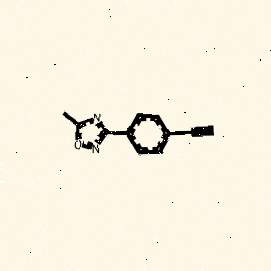 C#Cc1ccc(-c2noc(C)n2)cc1